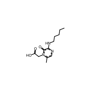 CCCCCNc1ncc(C)n(CC(=O)O)c1=O